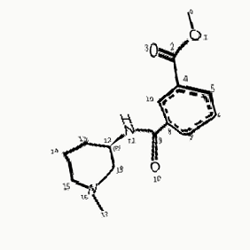 COC(=O)c1cccc(C(=O)N[C@@H]2CCCN(C)C2)c1